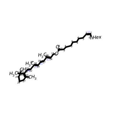 CCCCCC/C=C\CCCCCCCC(=O)OC/C=C(C)/C=C/C=C(C)/C=C/C1=C(C)CCCC1(C)C